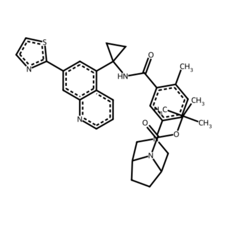 Cc1ccc(N2CC3CCC(C2)N3C(=O)OC(C)(C)C)cc1C(=O)NC1(c2cc(-c3nccs3)cc3ncccc23)CC1